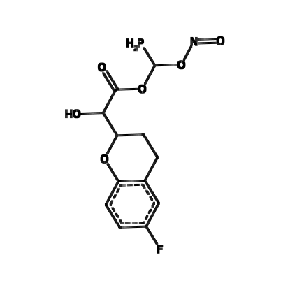 O=NOC(P)OC(=O)C(O)C1CCc2cc(F)ccc2O1